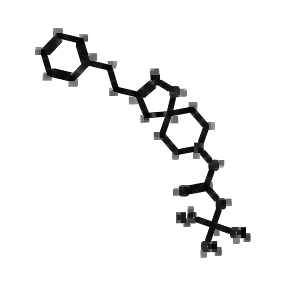 CC(C)(C)OC(=O)ON1CCC2(CC1)CC(CCc1ccccc1)=NO2